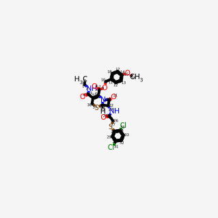 CCNC(=O)C1=C(C(=O)OCc2ccc(OC)cc2)N2C(=O)C(NC(=O)CSc3cc(Cl)ccc3Cl)[C@@H]2SC1